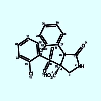 O=C1NC[C@@](C(=O)O)(S(=O)(=O)c2ccccc2Cl)N1c1ccccc1Cl